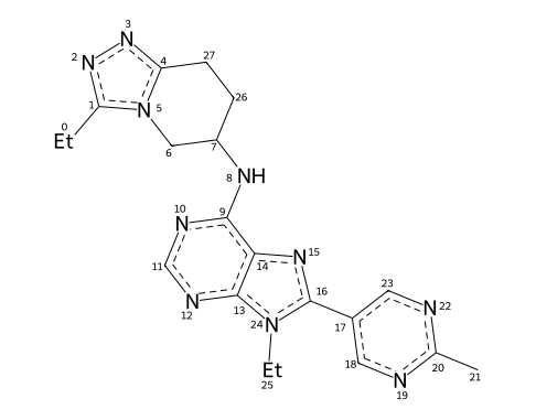 CCc1nnc2n1CC(Nc1ncnc3c1nc(-c1cnc(C)nc1)n3CC)CC2